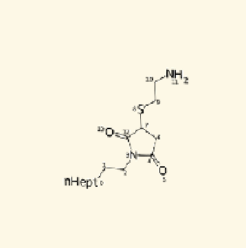 CCCCCCCCCN1C(=O)CC(SCCN)C1=O